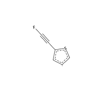 FC#Cc1c[c]cs1